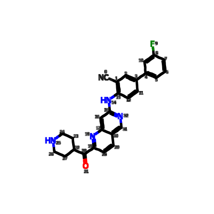 N#Cc1cc(-c2cccc(F)c2)ccc1Nc1cc2nc(C(=O)C3CCNCC3)ccc2cn1